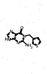 Nc1nc2[nH]cnc2c(=O)n1Cc1ccsc1